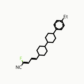 CCc1ccc(C2CCC(C3CCC(C=CC=C(F)C#N)CC3)CC2)cc1